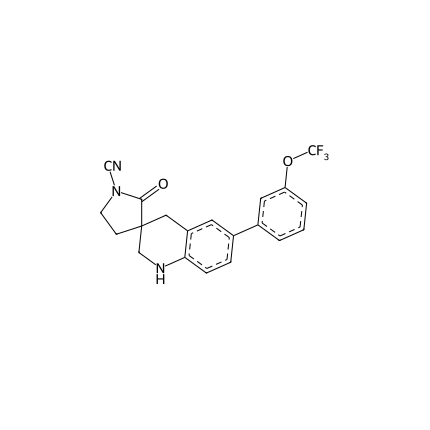 N#CN1CCC2(CNc3ccc(-c4cccc(OC(F)(F)F)c4)cc3C2)C1=O